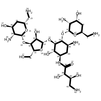 NC[C@@H]1C[C@@H](O)[C@@H](N)[C@@H](O[C@H]2[C@H](O[C@@H]3O[C@H](CO)[C@@H](O[C@H]4O[C@@H](CN)C[C@H](O)[C@H]4N)[C@H]3O)[C@@H](O)[C@H](NC(=O)[C@@H](O)[C@@H](O)CN)C[C@@H]2N)O1